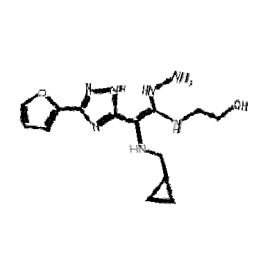 NN/C(NCCO)=C(/NCC1CC1)c1nc(-c2ccco2)n[nH]1